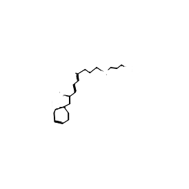 CCCCNCCC/C(C)=C/C=C/C(N)CC1(C)CCC=CCC1